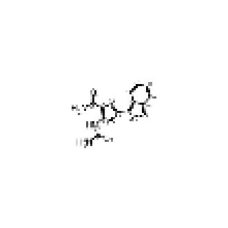 NC(=O)Nc1sc(-c2occ3ccccc23)cc1C(N)=O